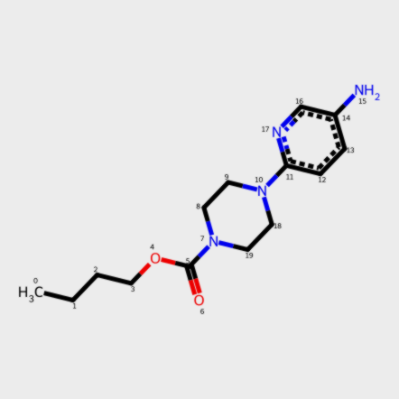 CCCCOC(=O)N1CCN(c2ccc(N)cn2)CC1